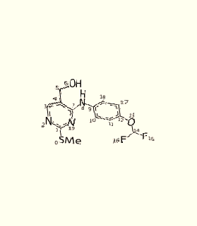 CSc1ncc(CO)c(Nc2ccc(OC(F)F)cc2)n1